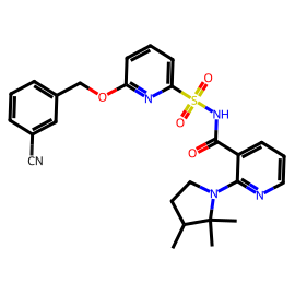 CC1CCN(c2ncccc2C(=O)NS(=O)(=O)c2cccc(OCc3cccc(C#N)c3)n2)C1(C)C